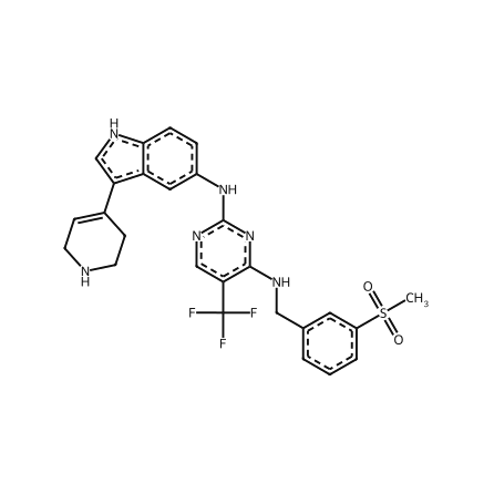 CS(=O)(=O)c1cccc(CNc2nc(Nc3ccc4[nH]cc(C5=CCNCC5)c4c3)ncc2C(F)(F)F)c1